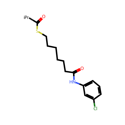 CC(C)C(=O)SCCCCCCC(=O)Nc1cccc(Cl)c1